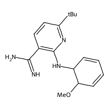 COC1C=CC=CC1Nc1nc(C(C)(C)C)ccc1C(=N)N